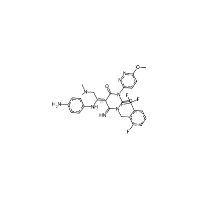 COc1ccc(N2C(=O)/C(=C(\CN(C)C)Nc3ccc(N)cc3)C(=N)N(Cc3c(F)cccc3C(F)(F)F)C2=O)nn1